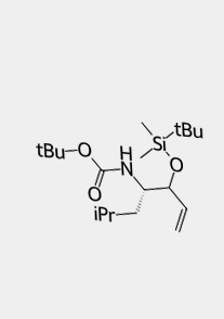 C=CC(O[Si](C)(C)C(C)(C)C)[C@H](CC(C)C)NC(=O)OC(C)(C)C